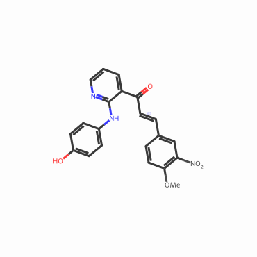 COc1ccc(/C=C/C(=O)c2cccnc2Nc2ccc(O)cc2)cc1[N+](=O)[O-]